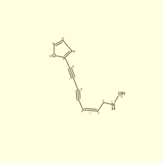 ONC/C=C\C#CC#Cc1ccco1